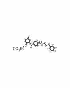 CCOC(=O)COc1ccc(C)cc1Nc1ccc(OCCCCc2ccccc2)cc1